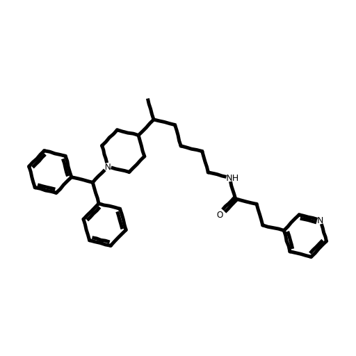 CC(CCCCNC(=O)CCc1cccnc1)C1CCN(C(c2ccccc2)c2ccccc2)CC1